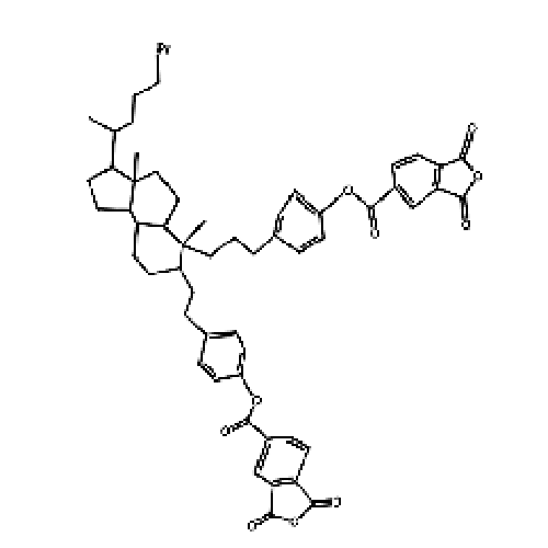 CC(C)CCCC(C)C1CCC2C3CCC(CCc4ccc(OC(=O)c5ccc6c(c5)C(=O)OC6=O)cc4)C(C)(CCCc4ccc(OC(=O)c5ccc6c(c5)C(=O)OC6=O)cc4)C3CCC12C